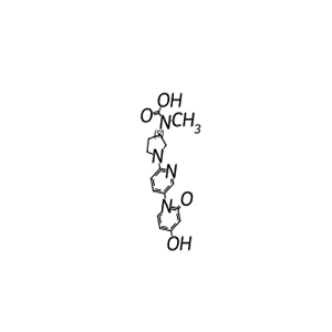 CN(C(=O)O)[C@H]1CCN(c2ccc(-n3ccc(O)cc3=O)cn2)C1